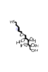 OCC(O)[C@H](O)[C@H](O)C(O)COC/C=C/CCS